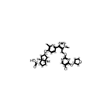 Cc1nc(-c2nnn(C)c2COc2ncc(Cl)c(O[C@H]3CCOC3)n2)ccc1O[C@H]1C[C@@H]2CC[C@H](C(=O)O)[C@@H]2C1